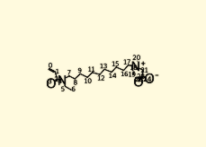 C=CC(=O)N(CC)CCCCCCCCCCC[N+](C)(C)CC(=O)[O-]